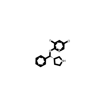 Fc1cc(Cl)cnc1OC(c1ccccc1)[C@H]1CCNC1